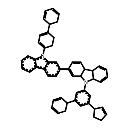 C1=CCC(C2=CC=C(n3c4ccccc4c4ccc(C5=CC6C(C=C5)C5C=CC=CC5N6c5cc(C6C=CC=CC6)cc(C6C=CCC6)c5)cc43)CC2)C=C1